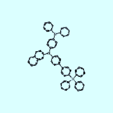 c1ccc(N(c2ccccc2)c2ccc(N(c3ccc(-c4ccc([Si](c5ccccc5)(c5ccccc5)c5ccccc5)cc4)cc3)c3ccc4ccccc4c3)cc2)cc1